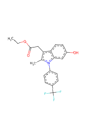 CCOC(=O)Cc1c(C)n(-c2ccc(C(F)(F)F)cc2)c2cc(O)ccc12